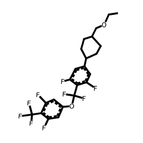 CCOCC1CCC(c2cc(F)c(C(F)(F)Oc3cc(F)c(C(F)(F)F)c(F)c3)c(F)c2)CC1